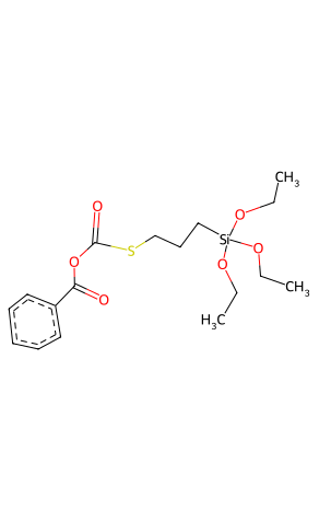 CCO[Si](CCCSC(=O)OC(=O)c1ccccc1)(OCC)OCC